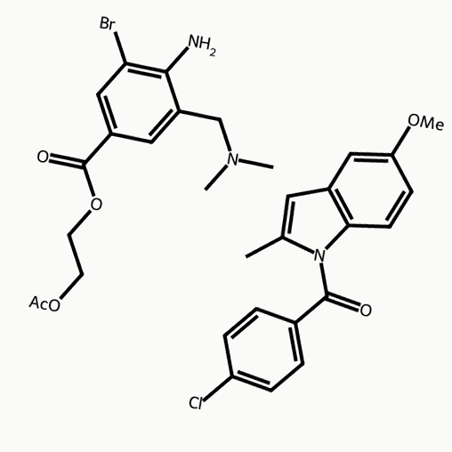 CC(=O)OCCOC(=O)c1cc(Br)c(N)c(CN(C)C)c1.COc1ccc2c(c1)cc(C)n2C(=O)c1ccc(Cl)cc1